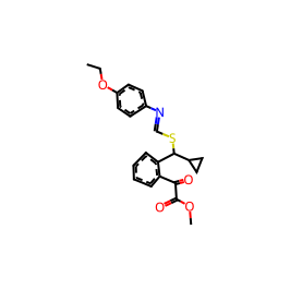 CCOc1ccc(N=CSC(c2ccccc2C(=O)C(=O)OC)C2CC2)cc1